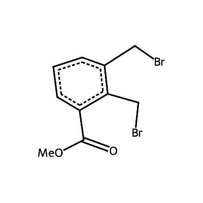 COC(=O)c1cccc(CBr)c1CBr